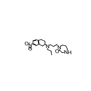 CCCN(CCCN1CCCNCC1=O)C1CCc2ccc([N+](=O)[O-])cc2C1